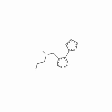 CN(CCN)Cc1c[nH]nc1-c1ccco1